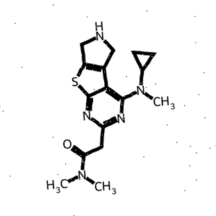 CN(C)C(=O)Cc1nc(N(C)C2CC2)c2c3c(sc2n1)CNC3